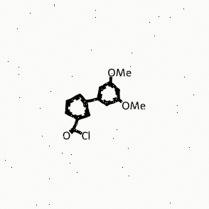 COc1cc(OC)cc(-c2cccc(C(=O)Cl)c2)c1